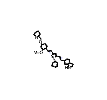 COc1cc(OCc2ccccn2)ccc1/C=C/c1cc(/C=C/c2ccc3cc[nH]c3c2)n(-c2ccccc2)n1